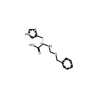 O=C(O)[C@H](Cc1c[nH]cn1)NCOCc1ccccc1